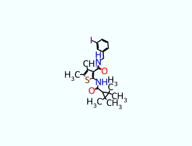 Cc1sc(NC(=O)C2C(C)(C)C2(C)C)c(C(=O)NCc2cccc(I)c2)c1C